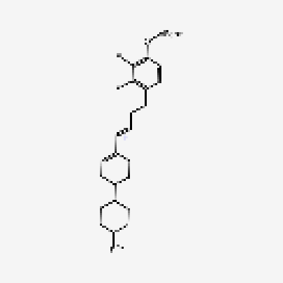 CCCCCOc1ccc(CC/C=C/C2=CCC(C3CCC(CCC)CC3)CC2)c(F)c1F